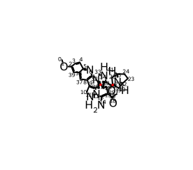 COc1ccc2ncc(-c3cnn4c(N)c(C(C)=O)c([C@H]5C[C@H]6CC[C@@H](C5)N6C(=O)c5nnc[nH]5)nc34)cc2c1